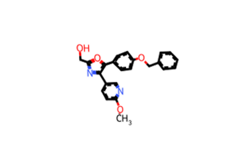 COc1ccc(-c2nc(CO)oc2-c2ccc(OCc3ccccc3)cc2)cn1